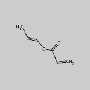 C=CC(=O)OC=CC